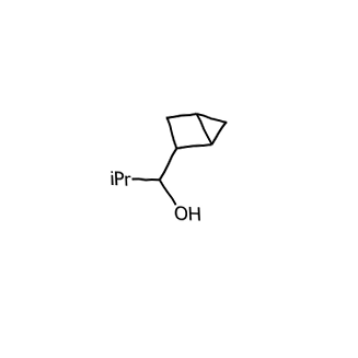 CC(C)C(O)C1CC2CC21